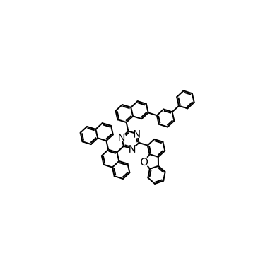 c1ccc(-c2cccc(-c3ccc4cccc(-c5nc(-c6c(-c7cccc8ccccc78)ccc7ccccc67)nc(-c6cccc7c6oc6ccccc67)n5)c4c3)c2)cc1